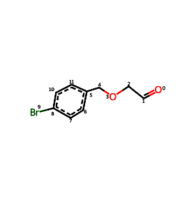 O=CCOCc1ccc(Br)cc1